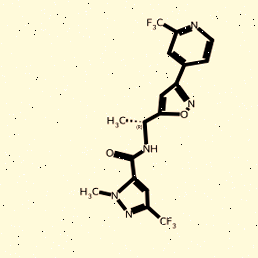 C[C@@H](NC(=O)c1cc(C(F)(F)F)nn1C)c1cc(-c2ccnc(C(F)(F)F)c2)no1